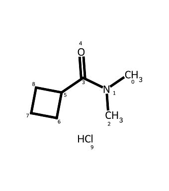 CN(C)C(=O)C1CCC1.Cl